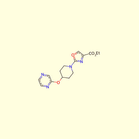 CCOC(=O)c1coc(N2CCC(Oc3cnccn3)CC2)n1